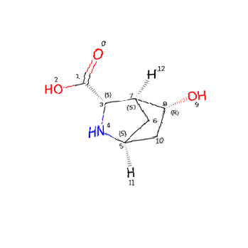 O=C(O)[C@H]1N[C@H]2C[C@@H]1[C@H](O)C2